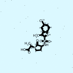 Cc1c(S(=O)(=O)NC2CCN([C@H](C)C(=O)O)C2=O)sc2ccc(Cl)cc12